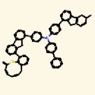 C=C1/C=C\C=C/Cc2cccc(-c3cccc4c3Cc3c(-c5ccc(N(c6ccc(-c7ccccc7)cc6)c6ccc(-c7cccc8c7CC7=C8CC(C)C=C7)cc6)cc5)cccc3-4)c2S1